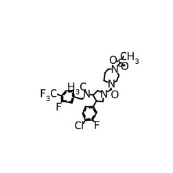 CN(Cc1ccc(C(F)(F)F)c(F)c1)C1CN(C(=O)N2CCCN(S(C)(=O)=O)CC2)CC1c1ccc(Cl)c(F)c1